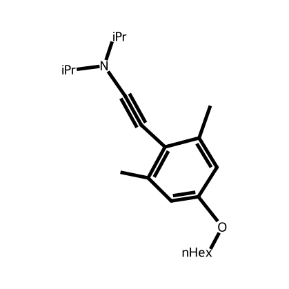 CCCCCCOc1cc(C)c(C#CN(C(C)C)C(C)C)c(C)c1